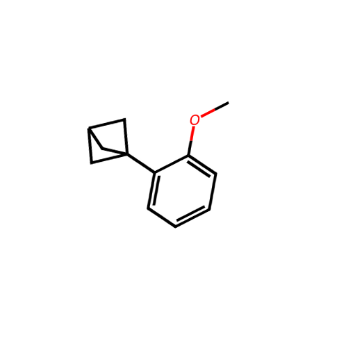 COc1ccccc1C12CC(C1)C2